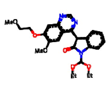 CCOC(OCC)N1C(=O)C(c2ncnc3cc(OCCOC)c(OC)cc23)c2ccccc21